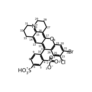 O=S(=O)([O-])c1cc(S(=O)(=O)O)ccc1C1=c2cc3c4c(c2Oc2cc(Br)c(Cl)cc21)CCC[N+]=4CCC3